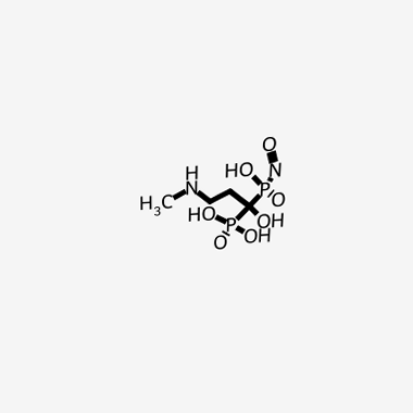 CNCCC(O)(P(=O)(O)O)P(=O)(O)N=O